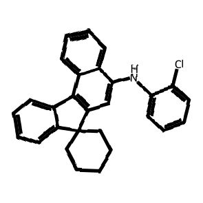 Clc1ccccc1Nc1cc2c(c3ccccc13)-c1ccccc1C21CCCCC1